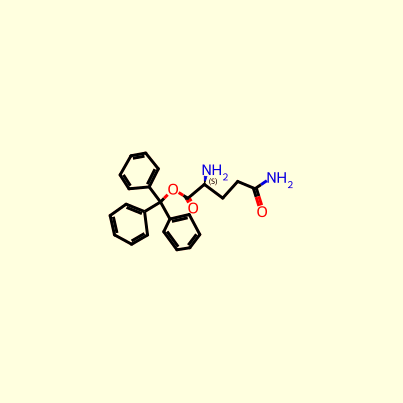 NC(=O)CC[C@H](N)C(=O)OC(c1ccccc1)(c1ccccc1)c1ccccc1